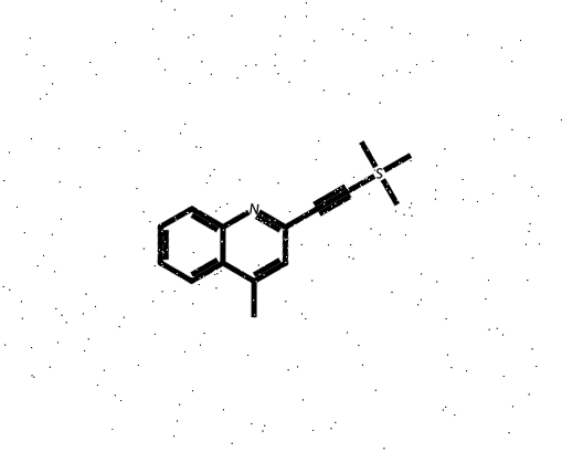 Cc1cc(C#CS(C)(C)C)nc2ccccc12